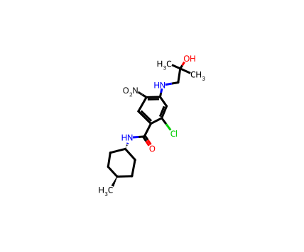 CC(C)(O)CNc1cc(Cl)c(C(=O)N[C@H]2CC[C@H](C)CC2)cc1[N+](=O)[O-]